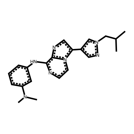 CC(C)Cn1cc(-c2cnc3c(Nc4cccc(N(C)C)c4)nccn23)cn1